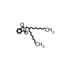 CCCCCCCCC(CCCCCCCC)CN1C(=O)c2ccccc2C1=O